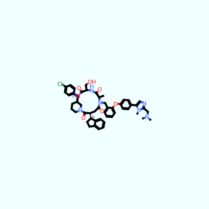 CC1C(=O)NC(CO)C(=O)NC2(Cc3ccc(Cl)cc3)CCCN(C2)C(=O)C([C@@H]2CCc3ccccc32)CC(=O)N1Cc1ccccc1Oc1ccc(-c2cnc(CN(C)C)n2C)cc1